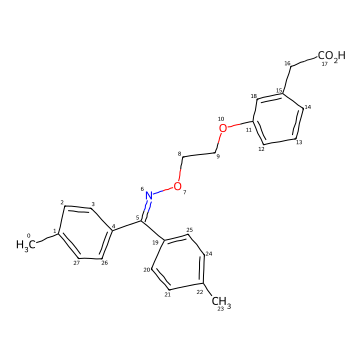 Cc1ccc(C(=NOCCOc2cccc(CC(=O)O)c2)c2ccc(C)cc2)cc1